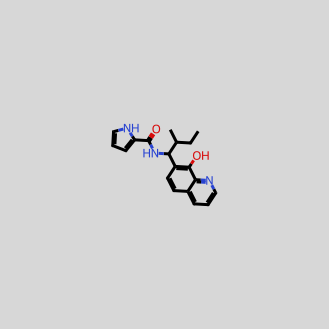 CCC(C)C(NC(=O)c1ccc[nH]1)c1ccc2cccnc2c1O